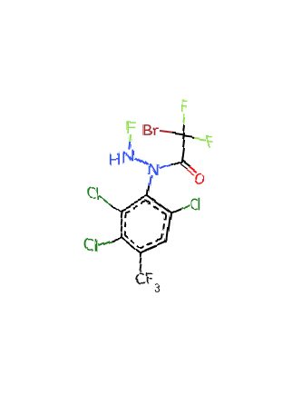 O=C(N(NF)c1c(Cl)cc(C(F)(F)F)c(Cl)c1Cl)C(F)(F)Br